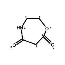 O=C1CC(=O)OCCN1